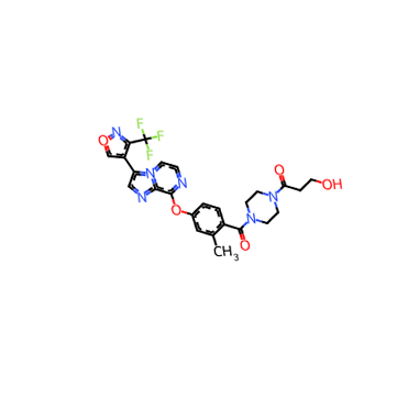 Cc1cc(Oc2nccn3c(-c4conc4C(F)(F)F)cnc23)ccc1C(=O)N1CCN(C(=O)CCO)CC1